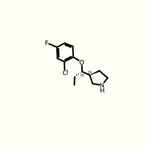 CC[C@H](Oc1ccc(F)cc1Cl)[C@H]1CCNC1